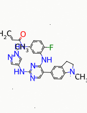 C=CC(=O)Nc1ccc(F)c(Nc2nc(Nc3cnn(C)c3)ncc2-c2ccc3c(c2)CCN3C)c1